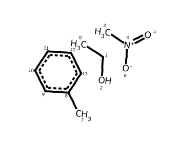 CCO.C[N+](=O)[O-].Cc1ccccc1